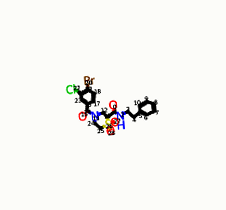 O=C(NCCc1ccccc1)C1CN(C(=O)c2ccc(Br)c(Cl)c2)CCS1(=O)=O